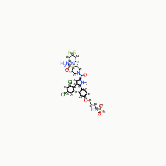 Cn1c(C(=O)N2CCC(C(N)=O)(N3CCC(F)(F)CC3)CC2)cc(-c2ccc(Cl)cc2Cl)c1-c1ccc(OCCCNS(C)(=O)=O)cc1